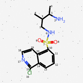 CC(N)C(C)CNS(=O)(=O)c1cccc2c(Cl)nccc12